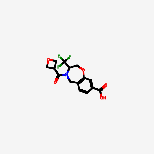 O=C(O)c1ccc2c(c1)OCC(C(F)(F)F)N(C(=O)C1COC1)C2